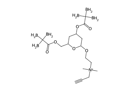 BC(B)(B)C(=O)OCC1CC(OC(=O)C(B)(B)B)CC(OCC[N+](C)(C)CC#C)O1